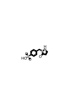 O=c1cc[nH]n1Cc1ccc(S(=O)(=O)O)cc1